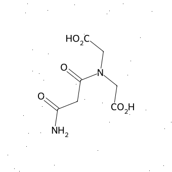 NC(=O)CC(=O)N(CC(=O)O)CC(=O)O